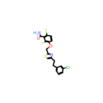 NC(=O)c1c(F)ccc(OCc2nc(CCc3cccc(Cl)c3)cs2)c1F